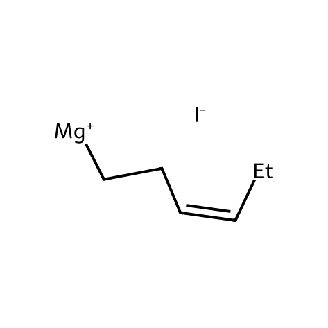 CC/C=C\C[CH2][Mg+].[I-]